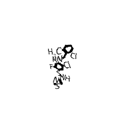 Cc1cccc(Cl)c1CNc1cc(F)c(SNc2cscn2)cc1Cl